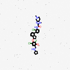 COc1c(CNC2CCCC2)cc(Cl)c(OC2CCc3c(-c4cccc(NC(=O)c5nc6c(n5C)CCN(C)C6)c4Cl)cccc32)c1F